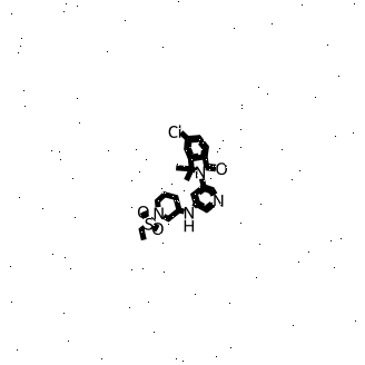 CCS(=O)(=O)N1CCCC(Nc2cncc(N3C(=O)c4ccc(Cl)cc4C3(C)C)c2)C1